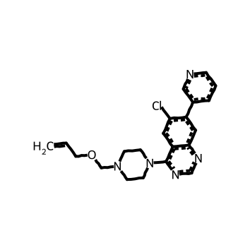 C=CCOCN1CCN(c2ncnc3cc(-c4cccnc4)c(Cl)cc23)CC1